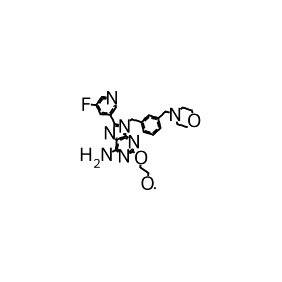 COCCOc1nc(N)c2nc(-c3cncc(F)c3)n(Cc3cccc(CN4CCOCC4)c3)c2n1